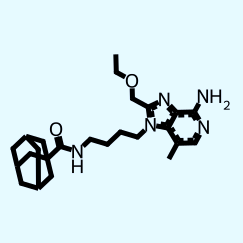 CCOCc1nc2c(N)ncc(C)c2n1CCCCNC(=O)C12CC3CC(CC(C3)C1)C2